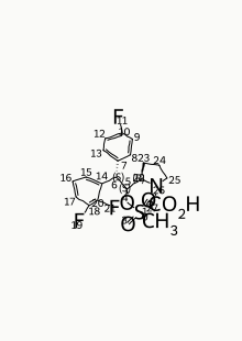 CS(=O)(=O)O[C@@H]([C@@H](c1ccc(F)cc1)c1cccc(F)c1F)[C@H]1CCCN1C(=O)O